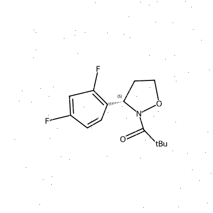 CC(C)(C)C(=O)N1OCC[C@H]1c1ccc(F)cc1F